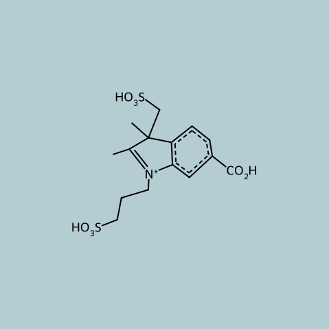 CC1=[N+](CCCS(=O)(=O)O)c2cc(C(=O)O)ccc2C1(C)CS(=O)(=O)O